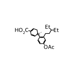 CCC(CC)CCc1cc(OC(C)=O)ccc1[C@@]1(C)C=CC(C(=O)O)=CC1